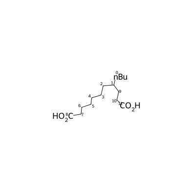 CCCCC(CCCCCCC(=O)O)CCC(=O)O